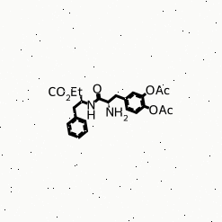 CCOC(=O)[C@H](Cc1ccccc1)NC(=O)[C@@H](N)Cc1ccc(OC(C)=O)c(OC(C)=O)c1